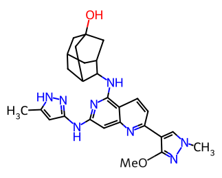 COc1nn(C)cc1-c1ccc2c(NC3C4CC5CC3CC(O)(C5)C4)nc(Nc3cc(C)[nH]n3)cc2n1